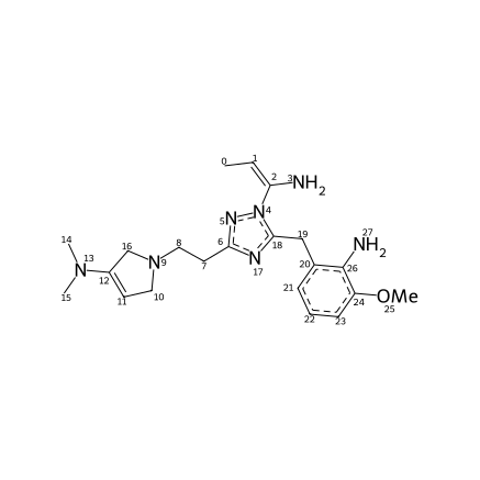 C/C=C(/N)n1nc(CCN2CC=C(N(C)C)C2)nc1Cc1cccc(OC)c1N